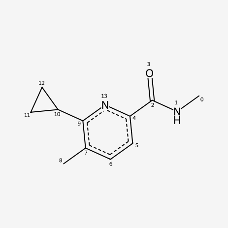 CNC(=O)c1ccc(C)c(C2CC2)n1